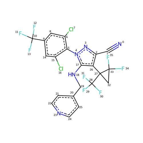 N#Cc1nn(-c2c(Cl)cc(C(F)(F)F)cc2Cl)c(NCc2ccncc2)c1C1(C(F)(F)F)CC1(F)F